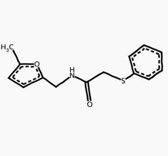 Cc1ccc(CNC(=O)CSc2ccccc2)o1